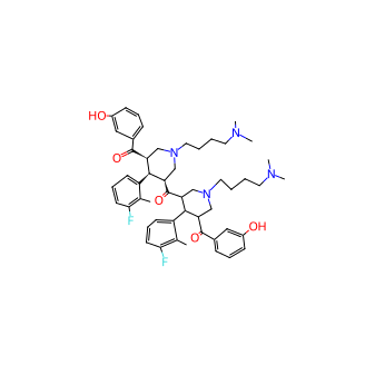 Cc1c(F)cccc1C1C(C(=O)c2cccc(O)c2)CN(CCCCN(C)C)CC1C(=O)[C@@H]1CN(CCCCN(C)C)C[C@H](C(=O)c2cccc(O)c2)[C@@H]1c1cccc(F)c1C